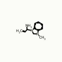 C=CC(N)N1CN(C)c2ccccc21